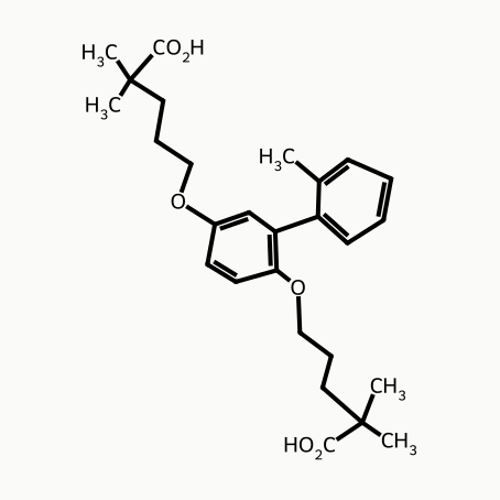 Cc1ccccc1-c1cc(OCCCC(C)(C)C(=O)O)ccc1OCCCC(C)(C)C(=O)O